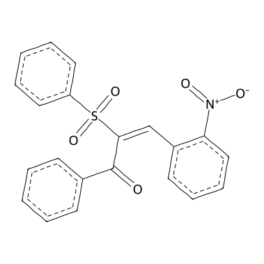 O=C(C(=Cc1ccccc1[N+](=O)[O-])S(=O)(=O)c1ccccc1)c1ccccc1